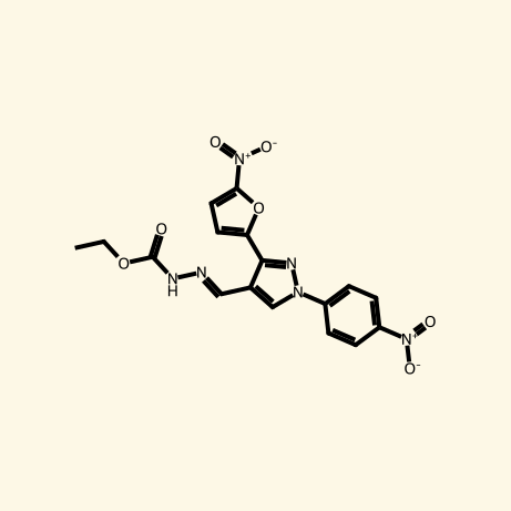 CCOC(=O)NN=Cc1cn(-c2ccc([N+](=O)[O-])cc2)nc1-c1ccc([N+](=O)[O-])o1